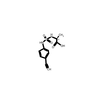 C#Cc1ccc(NS(=O)(=O)N[C@@H](C)C(=O)O)cc1